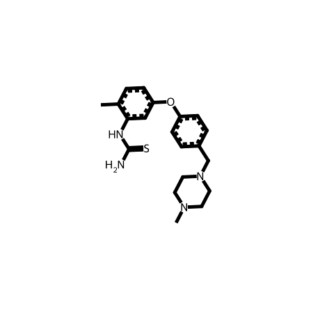 Cc1ccc(Oc2ccc(CN3CCN(C)CC3)cc2)cc1NC(N)=S